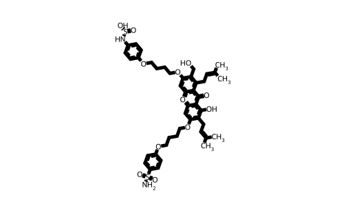 CC(C)=CCc1c(OCCCCOc2ccc(S(N)(=O)=O)cc2)cc2oc3cc(OCCCCOc4ccc(N[SH](=O)=O)cc4)c(CO)c(CC=C(C)C)c3c(=O)c2c1O